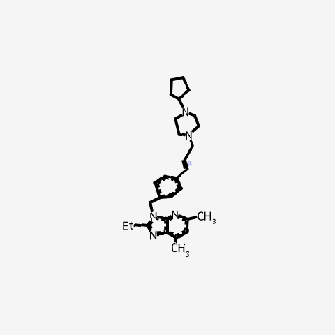 CCc1nc2c(C)cc(C)nc2n1Cc1ccc(/C=C/CN2CCN(C3CCCC3)CC2)cc1